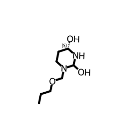 CCCOCN1CC[C@H](O)NC1O